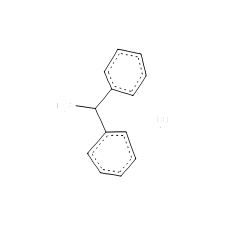 [AlH2][CH](c1ccccc1)c1ccccc1.[HH]